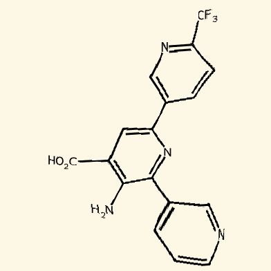 Nc1c(C(=O)O)cc(-c2ccc(C(F)(F)F)nc2)nc1-c1cccnc1